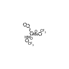 O=C(Nc1cccc(C(F)(F)F)c1)c1cc(C=Cc2ccc3ccccc3c2)cc(C(=O)Nc2cccc(C(F)(F)F)c2)c1